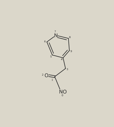 O=NC(=O)Cc1ccncc1